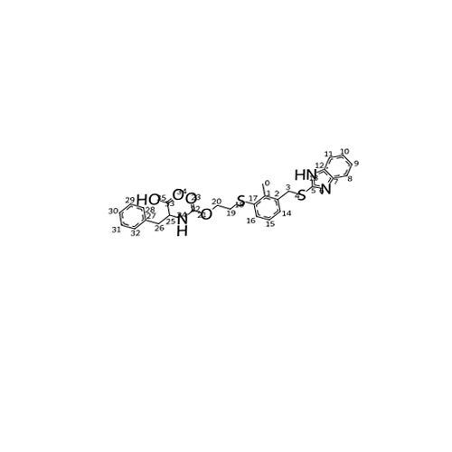 Cc1c(CSc2nc3ccccc3[nH]2)cccc1SCCOC(=O)NC(Cc1ccccc1)C(=O)O